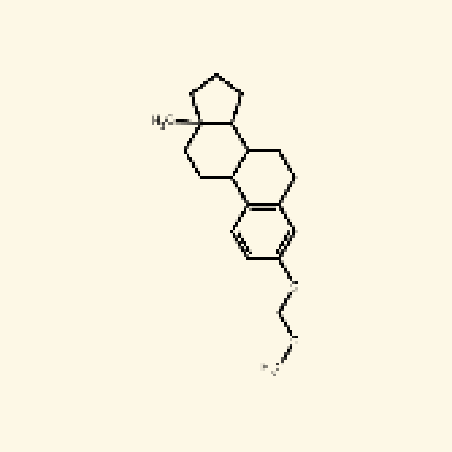 COCOc1ccc2c(c1)CCC1C2CC[C@]2(C)CCCC12